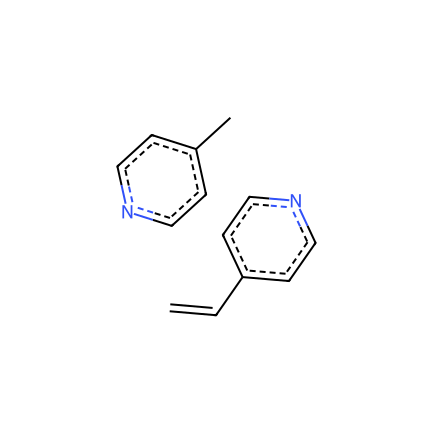 C=Cc1ccncc1.Cc1ccncc1